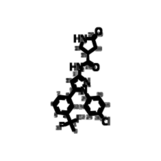 CC(F)(F)c1cccc(-c2cc(NC(=O)[C@H]3CNC(=O)C3)nn2-c2ccc(Cl)cc2)c1